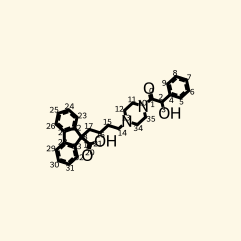 O=C(C(O)c1ccccc1)N1CCN(CCCCC2(C(=O)O)c3ccccc3-c3ccccc32)CC1